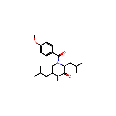 COc1ccc(C(=O)N2C[C@H](CC(C)C)NC(=O)[C@@H]2CC(C)C)cc1